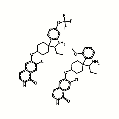 CCC(N)C1(c2ccc(OC(F)(F)F)cc2)CCC(Oc2cc3cc[nH]c(=O)c3cc2Cl)CC1.CCC(N)C1(c2ccccc2OC)CCC(Oc2cc3cc[nH]c(=O)c3cc2Cl)CC1